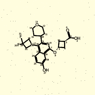 O=C(O)[C@H]1C[C@H](Oc2nc(C3CCOCC3)c(N3CC(F)(F)C3)c3ccc(O)cc23)C1